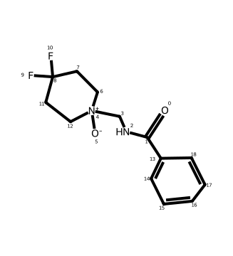 O=C(NC[N+]1([O-])CCC(F)(F)CC1)c1ccccc1